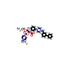 CCOC(=O)C(OC(=O)N1CCN(C)CC1)n1c(=O)oc2c(N3CCN(Cc4cccc(-c5ccccc5)c4)CC3)cccc21